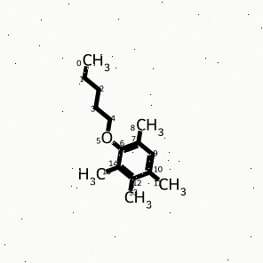 CCCCCOc1c(C)cc(C)c(C)c1C